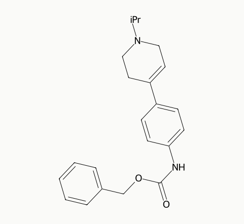 CC(C)N1CC=C(c2ccc(NC(=O)OCc3ccccc3)cc2)CC1